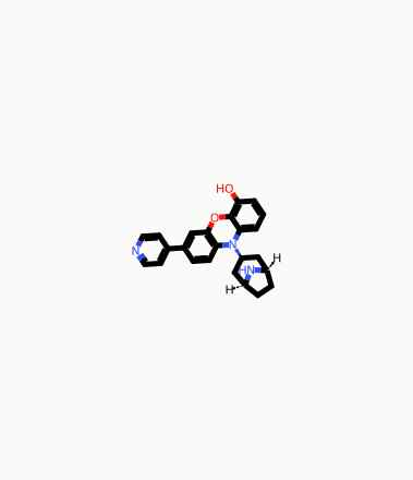 Oc1cccc2c1Oc1cc(-c3ccncc3)ccc1N2[C@H]1C[C@H]2CC[C@@H](C1)N2